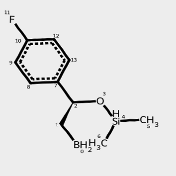 BC[C@H](O[SiH](C)C)c1ccc(F)cc1